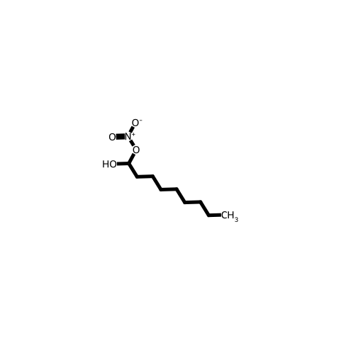 CCCCCCCCC(O)O[N+](=O)[O-]